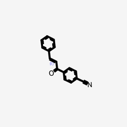 N#Cc1ccc(C(=O)/C=C/c2ccccc2)cc1